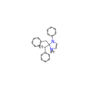 CCC(c1ccccc1)C1(Cc2ccccc2)N(c2ccccc2)C=CN1C(C)C